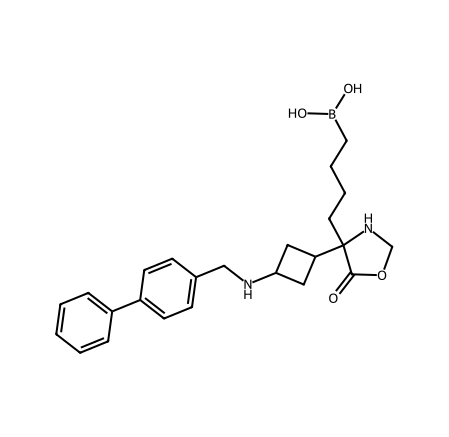 O=C1OCNC1(CCCCB(O)O)C1CC(NCc2ccc(-c3ccccc3)cc2)C1